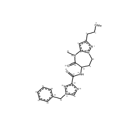 COCCc1cc2n(n1)CCC(NC(=O)c1ncn(Cc3ccccc3)n1)C(=O)N2C